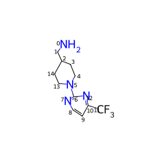 NCC1CCN(c2nccc(C(F)(F)F)n2)CC1